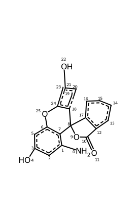 Nc1cc(O)cc2c1C1(OC(=O)c3ccccc31)c1ccc(O)cc1O2